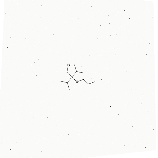 CCCO[Si](CBr)(C(C)C)C(C)C